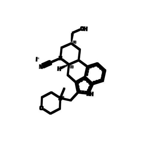 C[N+]1(Cc2[nH]c3cccc4c3c2C[C@@H]2C4C[C@@H](CO)CN2C#N)CCOCC1.[I-]